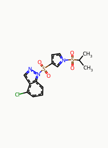 CC(C)S(=O)(=O)n1ccc(S(=O)(=O)n2ncc3c(Cl)cccc32)c1